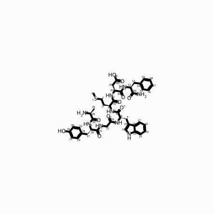 CSCC[C@H](NC(=O)[C@H](Cc1c[nH]c2ccccc12)NC(=O)CNC(=O)[C@H](Cc1ccc(O)cc1)NC(=O)[C@H](C)N)C(=O)N[C@@H](CC(=O)O)C(=O)N[C@@H](Cc1ccccc1)C(N)=O